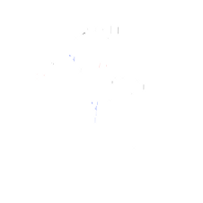 CCOC(=O)C(CCc1ccccc1)NC(C)C(=O)N1C(=O)CC[C@H]1C(=O)O